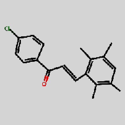 Cc1cc(C)c(C)c(/C=C/C(=O)c2ccc(Cl)cc2)c1C